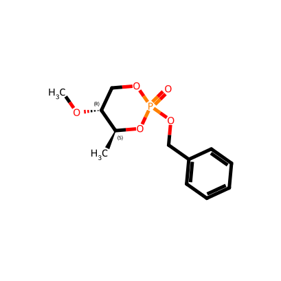 CO[C@@H]1COP(=O)(OCc2ccccc2)O[C@H]1C